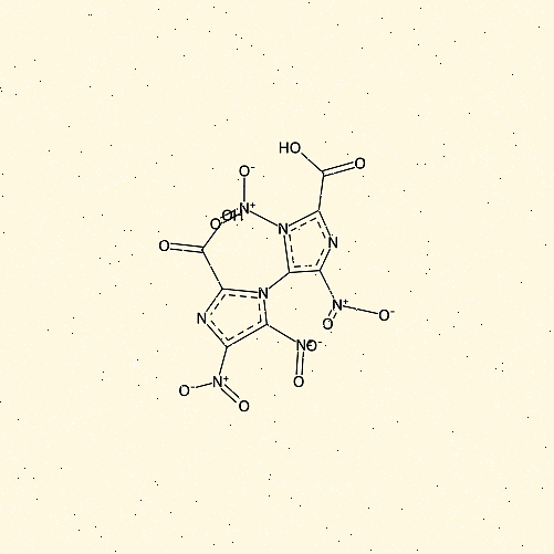 O=C(O)c1nc([N+](=O)[O-])c([N+](=O)[O-])n1-c1c([N+](=O)[O-])nc(C(=O)O)n1[N+](=O)[O-]